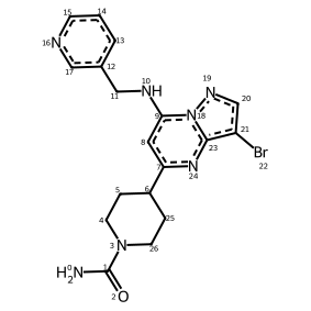 NC(=O)N1CCC(c2cc(NCc3cccnc3)n3ncc(Br)c3n2)CC1